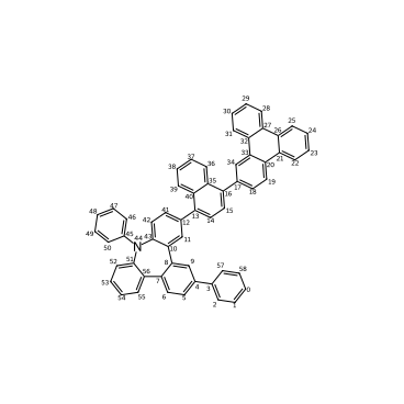 c1ccc(-c2ccc3c(c2)-c2cc(-c4ccc(-c5ccc6c7ccccc7c7ccccc7c6c5)c5ccccc45)ccc2N(c2ccccc2)c2ccccc2-3)cc1